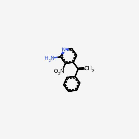 C=C(c1ccccc1)c1ccnc(N)c1[N+](=O)[O-]